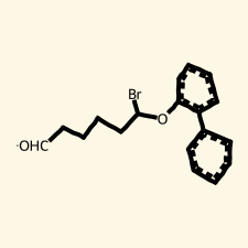 O=[C]CCCCC(Br)Oc1ccccc1-c1ccccc1